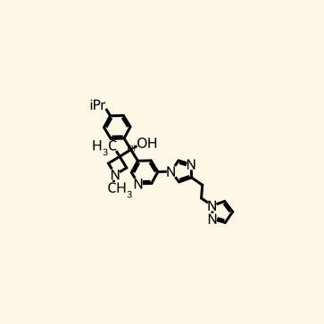 CC(C)c1ccc([C@](O)(c2cncc(-n3cnc(CCn4cccn4)c3)c2)C2(C)CN(C)C2)cc1